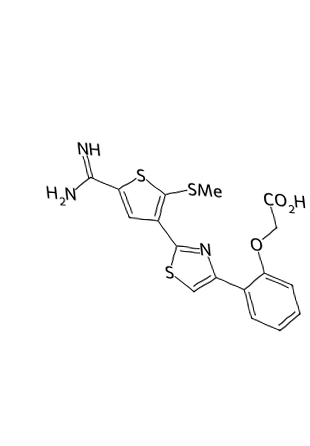 CSc1sc(C(=N)N)cc1-c1nc(-c2ccccc2OCC(=O)O)cs1